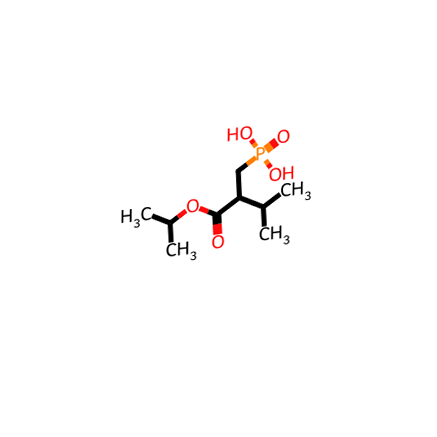 CC(C)OC(=O)C(CP(=O)(O)O)C(C)C